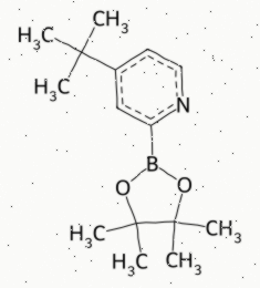 CC(C)(C)c1ccnc(B2OC(C)(C)C(C)(C)O2)c1